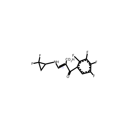 O=C(O)/C(=C\NC1CC1(F)F)C(=O)c1cc(F)c(F)c(F)c1F